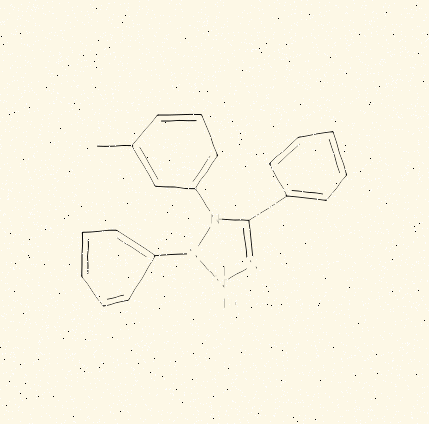 Cc1cccc(N2C(c3ccccc3)=NNN2c2ccccc2)c1.Cl